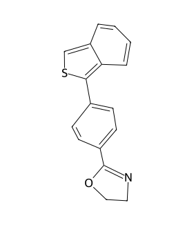 c1ccc2c(-c3ccc(C4=NCCO4)cc3)scc2c1